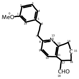 COc1cccc(CCc2ccc3c(n2)CCCC3C=O)c1